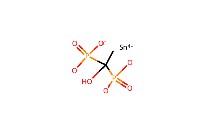 CC(O)(P(=O)([O-])[O-])P(=O)([O-])[O-].[Sn+4]